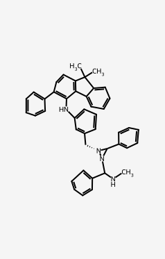 CNC(c1ccccc1)N1C(c2ccccc2)[N@@]1Cc1cccc(Nc2c(-c3ccccc3)ccc3c2-c2ccccc2C3(C)C)c1